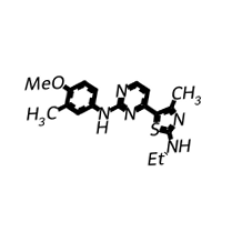 CCNc1nc(C)c(-c2ccnc(Nc3ccc(OC)c(C)c3)n2)s1